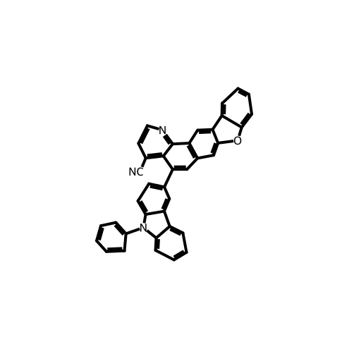 N#Cc1ccnc2c1c(-c1ccc3c(c1)c1ccccc1n3-c1ccccc1)cc1cc3oc4ccccc4c3cc12